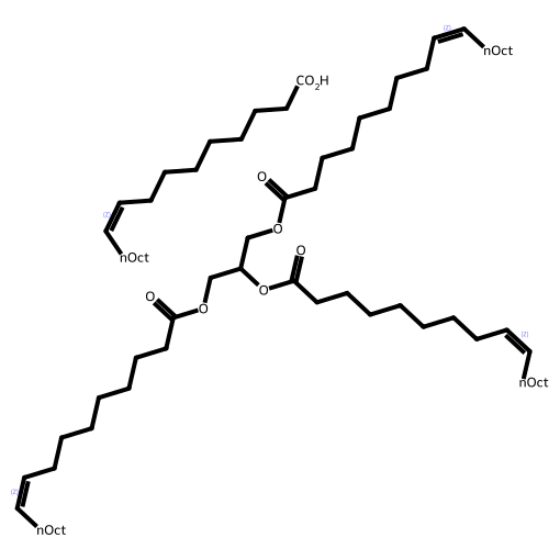 CCCCCCCC/C=C\CCCCCCCC(=O)O.CCCCCCCC/C=C\CCCCCCCC(=O)OCC(COC(=O)CCCCCCC/C=C\CCCCCCCC)OC(=O)CCCCCCC/C=C\CCCCCCCC